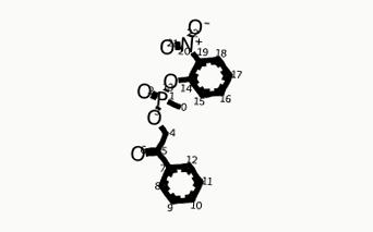 CP(=O)(OCC(=O)c1ccccc1)Oc1ccccc1[N+](=O)[O-]